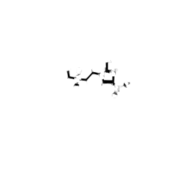 CCS(=O)(=O)CCn1cc([N+](=O)[O-])nc1C